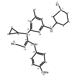 CCN1CCCC(Nc2cc(C)nc(N(/C(=N\C#N)Nc3ccc(OC)cc3)C3CC3)n2)C1